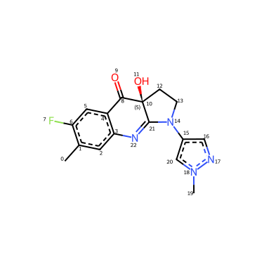 Cc1cc2c(cc1F)C(=O)[C@]1(O)CCN(c3cnn(C)c3)C1=N2